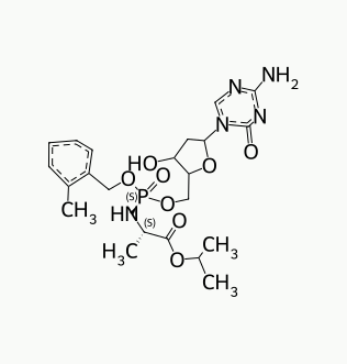 Cc1ccccc1CO[P@@](=O)(N[C@@H](C)C(=O)OC(C)C)OCC1OC(n2cnc(N)nc2=O)CC1O